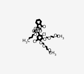 CCCCOP(=O)(O)C(ON1C(=O)c2ccccc2C1=O)c1cc(Cl)c(OCOCCOC)c(OCOCCOC)c1Cl